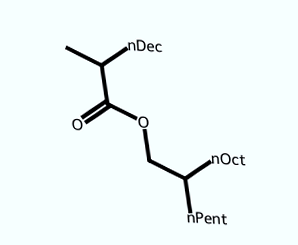 CCCCCCCCCCC(C)C(=O)OCC(CCCCC)CCCCCCCC